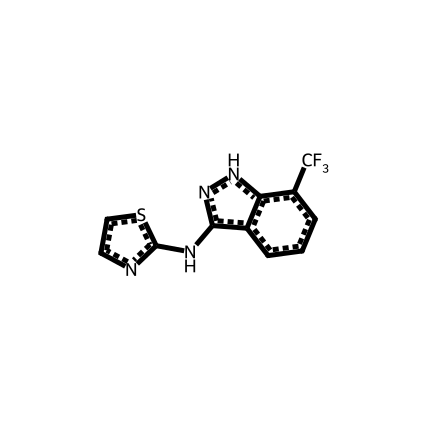 FC(F)(F)c1cccc2c(Nc3nccs3)n[nH]c12